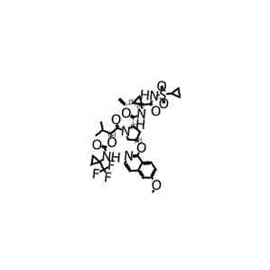 C=C[C@@H]1C[C@]1(NC(=O)[C@@H]1C[C@@H](Oc2nccc3cc(OC)ccc23)CN1C(=O)[C@@H](OC(=O)NC1(C(F)(F)F)CC1)C(C)C)C(=O)NS(=O)(=O)C1CC1